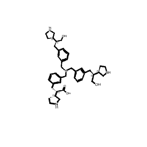 O=C(O)[C@@H](Cc1cccc(CN(Cc2cccc(C[C@H](CO)[C@H]3CCNC3)c2)Cc2cccc(C[C@H](CO)[C@H]3CCNC3)c2)c1)[C@H]1CCNC1